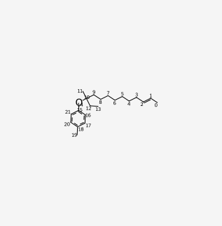 CC=CCCCCCCCC(C)(CC)Oc1ccc(C)cc1